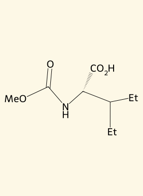 CCC(CC)[C@H](NC(=O)OC)C(=O)O